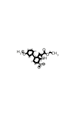 CCOC(=O)c1cc2c(-c3cccc(OC)c3)ccc([N+](=O)[O-])c2[nH]1